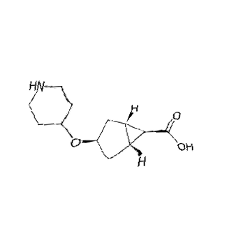 O=C(O)[C@H]1[C@@H]2C[C@@H](OC3CCNCC3)C[C@@H]21